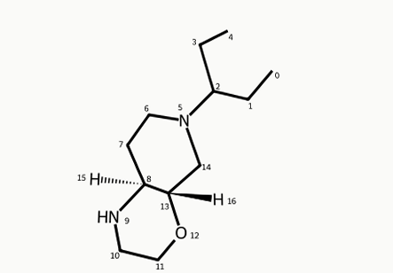 CCC(CC)N1CC[C@@H]2NCCO[C@H]2C1